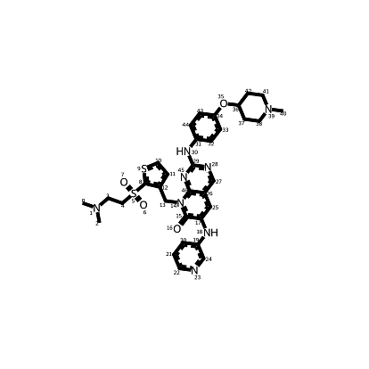 CN(C)CCS(=O)(=O)c1sccc1Cn1c(=O)c(Nc2cccnc2)cc2cnc(Nc3ccc(OC4CCN(C)CC4)cc3)nc21